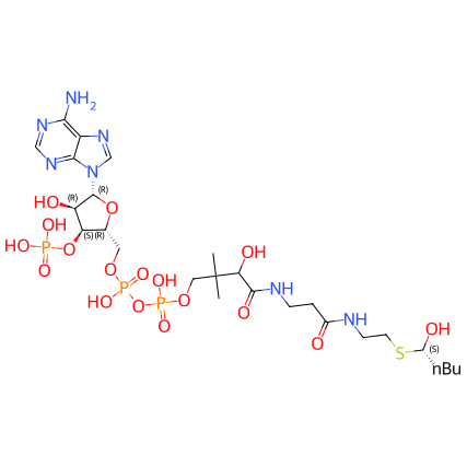 CCCC[C@@H](O)SCCNC(=O)CCNC(=O)C(O)C(C)(C)COP(=O)(O)OP(=O)(O)OC[C@H]1O[C@@H](n2cnc3c(N)ncnc32)[C@H](O)[C@@H]1OP(=O)(O)O